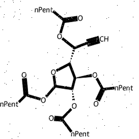 C#CC(OC(=O)CCCCC)[C@H]1OC(OC(=O)CCCCC)[C@@H](OC(=O)CCCCC)[C@@H]1OC(=O)CCCCC